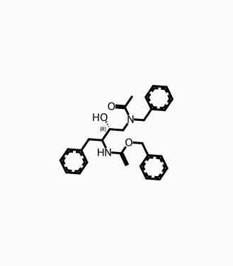 C=C(NC(Cc1ccccc1)[C@H](O)CN(Cc1ccccc1)C(C)=O)OCc1ccccc1